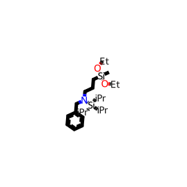 CCO[Si](C)(CCCN(Cc1ccccc1)[Si](C(C)C)(C(C)C)C(C)C)OCC